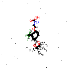 CC1(C)OB(c2ccc(OCCNC(=O)O)c(C(F)(F)F)c2)OC1(C)C